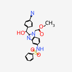 CCOC(=O)Cn1c(C(O)c2ccc(C#N)cc2)nc2cc(NS(=O)(=O)c3ccccc3)ccc21